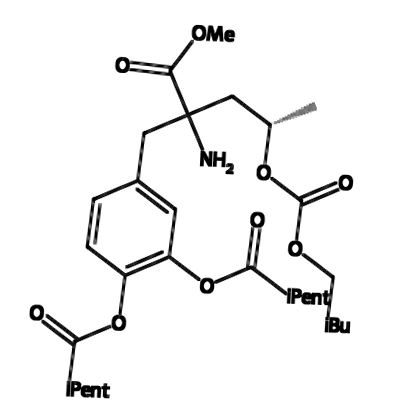 CCCC(C)C(=O)Oc1ccc(CC(N)(C[C@H](C)OC(=O)OCC(C)CC)C(=O)OC)cc1OC(=O)C(C)CCC